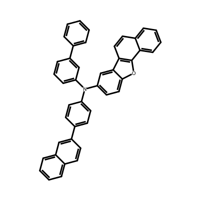 c1ccc(-c2cccc(N(c3ccc(-c4ccc5ccccc5c4)cc3)c3ccc4oc5c6ccccc6ccc5c4c3)c2)cc1